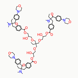 CCC(COCC(O)COC(=O)c1ccc(CC(CC)(C(=O)c2ccc(N3CCOCC3)cc2)N(C)C)cc1)(COCC(O)COC(=O)c1ccc(CC(CC)(C(=O)c2ccc(N3CCOCC3)cc2)N(C)C)cc1)COCC(O)COC(=O)c1ccc(CC(CC)(C(=O)c2ccc(N3CCOCC3)cc2)N(C)C)cc1